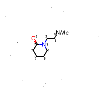 CNCCN1CC[CH]CC1=O